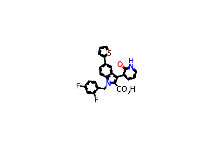 O=C(O)c1c(-c2ccc[nH]c2=O)c2cc(-c3cccs3)ccc2n1Cc1ccc(F)cc1F